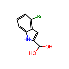 OC(O)c1cc2c(Br)cccc2[nH]1